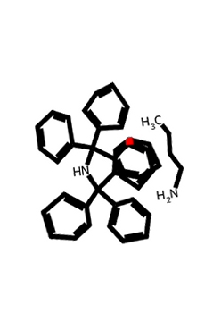 CCCCN.c1ccc(C(NC(c2ccccc2)(c2ccccc2)c2ccccc2)(c2ccccc2)c2ccccc2)cc1